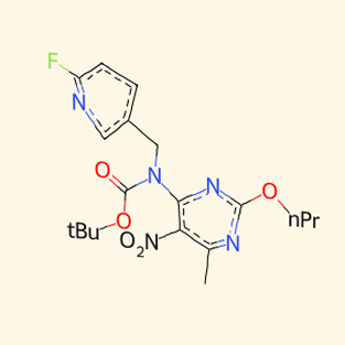 CCCOc1nc(C)c([N+](=O)[O-])c(N(Cc2ccc(F)nc2)C(=O)OC(C)(C)C)n1